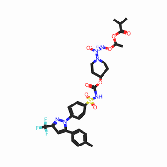 Cc1ccc(-c2cc(C(F)(F)F)nn2-c2ccc(S(=O)(=O)NC(=O)OC3CCN(/[N+]([O-])=N\OC(C)OC(=O)C(C)C)CC3)cc2)cc1